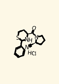 Cl.N#C[C@@H]1CCCN1C(=O)[C@@H]1CCSC(c2ccccc2)N1